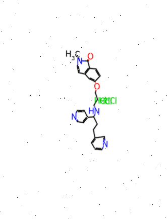 Cl.Cl.Cl.Cn1ccc2cc(OCCCNC(CCc3cccnc3)c3ccncc3)ccc2c1=O